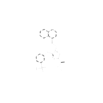 COC(=O)C1CN(CCc2cccc3ccccc23)C(Cc2cccc(C(F)(F)F)c2)=N1